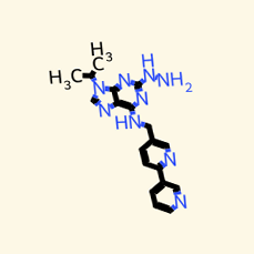 CC(C)n1cnc2c(NCc3ccc(-c4cccnc4)nc3)nc(NN)nc21